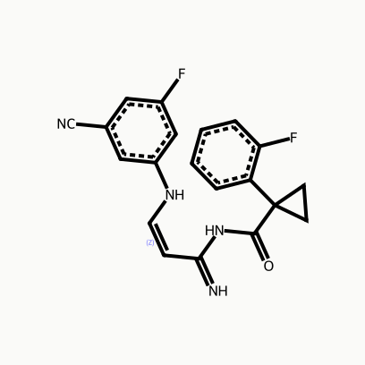 N#Cc1cc(F)cc(N/C=C\C(=N)NC(=O)C2(c3ccccc3F)CC2)c1